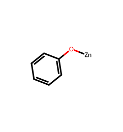 [Zn][O]c1ccccc1